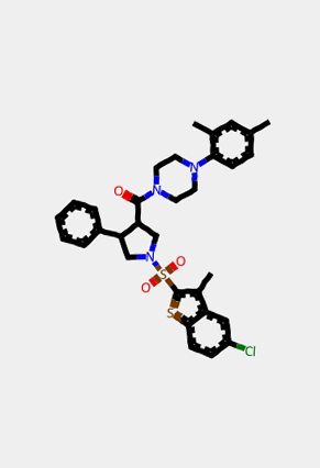 Cc1ccc(N2CCN(C(=O)C3CN(S(=O)(=O)c4sc5ccc(Cl)cc5c4C)CC3c3ccccc3)CC2)c(C)c1